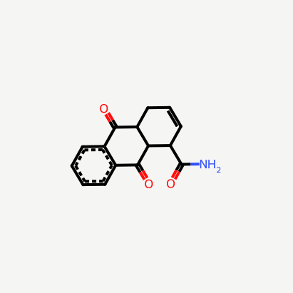 NC(=O)C1C=CCC2C(=O)c3ccccc3C(=O)C12